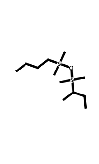 CCCC[Si](C)(C)O[Si](C)(C)C(C)CC